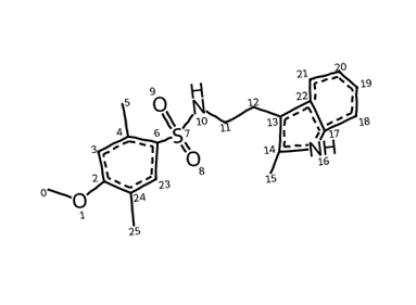 COc1cc(C)c(S(=O)(=O)NCCc2c(C)[nH]c3ccccc23)cc1C